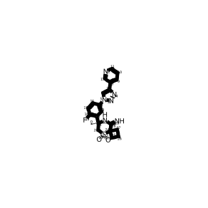 C[C@@]1(c2cc(-n3cc(-c4cccnc4)nn3)ccc2F)CS(=O)(=O)C2(CCC2)C(=N)N1